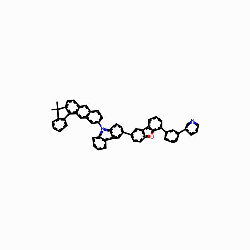 CC1(C)c2ccccc2-c2c1ccc1cc3ccc(-n4c5ccccc5c5cc(-c6ccc7oc8c(-c9cccc(-c%10cccnc%10)c9)cccc8c7c6)ccc54)cc3cc21